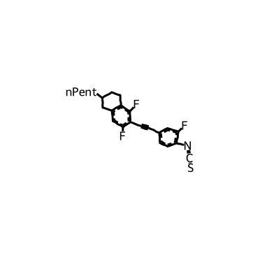 CCCCCC1CCc2c(cc(F)c(C#Cc3ccc(N=C=S)c(F)c3)c2F)C1